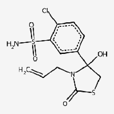 C=CCN1C(=O)SCC1(O)c1ccc(Cl)c(S(N)(=O)=O)c1